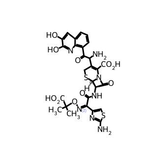 CC(C)(O/N=C(\C(=O)NC1C(=O)N2C(C(=O)O)=C(C(N)C(=O)c3cccc4cc(O)c(O)nc34)CS[C@H]12)c1csc(N)n1)C(=O)O